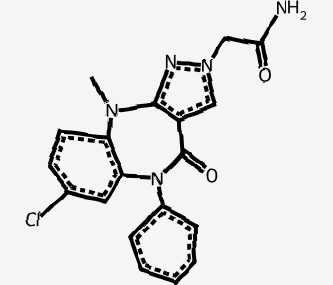 CN1c2ccc(Cl)cc2N(c2ccccc2)C(=O)c2cn(CC(N)=O)nc21